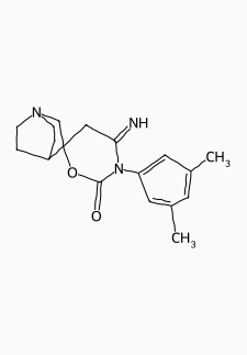 Cc1cc(C)cc(N2C(=N)CC3(CN4CCC3CC4)OC2=O)c1